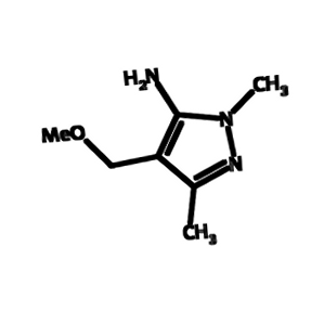 COCc1c(C)nn(C)c1N